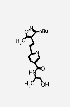 CCCCc1noc(C)c1/C=C/c1ccc(C(=O)NC(C)CO)cn1